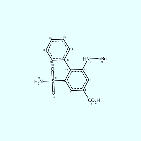 CCCCNc1cc(C(=O)O)cc(S(N)(=O)=O)c1-c1ccccc1